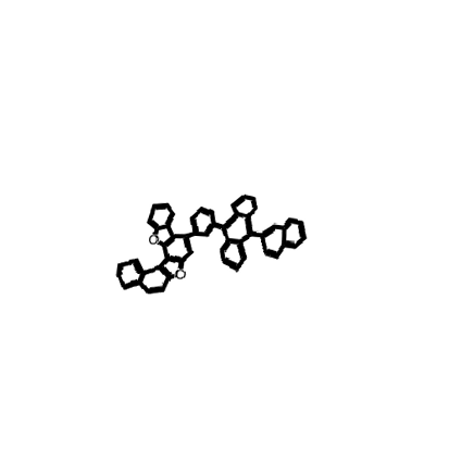 c1cc(-c2c3ccccc3c(-c3ccc4ccccc4c3)c3ccccc23)cc(-c2cc3oc4ccc5ccccc5c4c3c3oc4ccccc4c23)c1